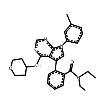 CCN(CC)C(=O)c1ccccc1-c1cn(-c2cccc(C)c2)c2ncnc(NC3CCOCC3)c12